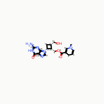 CN1C=CCC(C(=O)OC[C@H]2[C@@H](CO)C[C@H]2n2cnc3c(=O)[nH]c(N)nc32)=C1